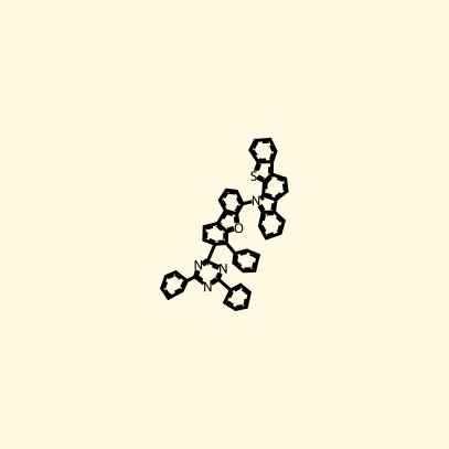 c1ccc(-c2nc(-c3ccccc3)nc(-c3ccc4c(oc5c(-n6c7ccccc7c7ccc8c9ccccc9sc8c76)cccc54)c3-c3ccccc3)n2)cc1